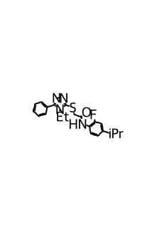 CCn1c(SCC(=O)Nc2ccc(C(C)C)cc2F)nnc1-c1ccccc1